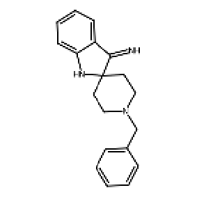 N=C1c2ccccc2NC12CCN(Cc1ccccc1)CC2